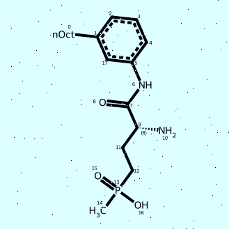 CCCCCCCCc1cccc(NC(=O)[C@H](N)CCP(C)(=O)O)c1